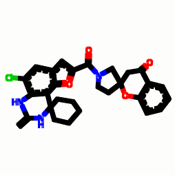 C=C1Nc2c(Cl)cc3cc(C(=O)N4CCC5(CC(=O)c6ccccc6O5)C4)oc3c2C2(CCCCC2)N1